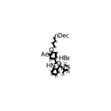 Br.CCCCCCCCCCCCCCOc1ccc(C(=O)Nc2ccccc2CN2CSC=C2C)cc1C(C)=O